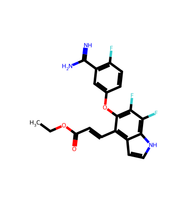 CCOC(=O)/C=C/c1c(Oc2ccc(F)c(C(=N)N)c2)c(F)c(F)c2[nH]ccc12